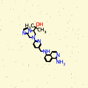 CC(C)(O)C1CN(c2ccc(CNc3cccc4c(N)nccc34)cn2)Cc2nccn21